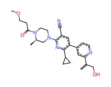 C=C(CO)c1cc(-c2cc(C#N)c(N3CCN(C(=O)CCOC)[C@H](C)C3)nc2C2CC2)ccn1